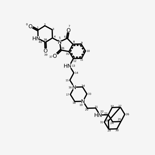 O=C1CCC(N2C(=O)c3cccc(NCCN4CCN(CCNC56CC7CC(CC(C7)C5)C6)CC4)c3C2=O)C(=O)N1